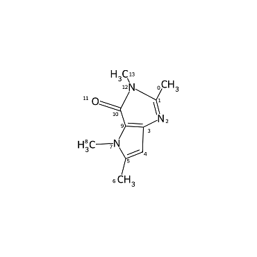 Cc1nc2cc(C)n(C)c2c(=O)n1C